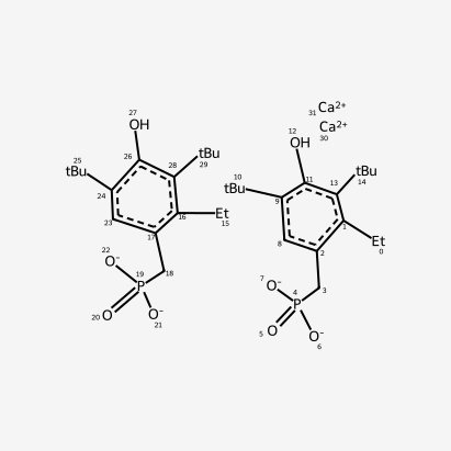 CCc1c(CP(=O)([O-])[O-])cc(C(C)(C)C)c(O)c1C(C)(C)C.CCc1c(CP(=O)([O-])[O-])cc(C(C)(C)C)c(O)c1C(C)(C)C.[Ca+2].[Ca+2]